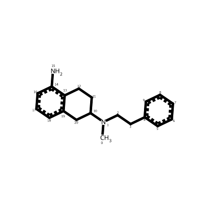 CN(CCc1ccccc1)C1CCc2c(N)cccc2C1